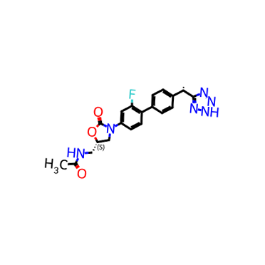 CC(=O)NC[C@H]1CN(c2ccc(-c3ccc([CH]c4nn[nH]n4)cc3)c(F)c2)C(=O)O1